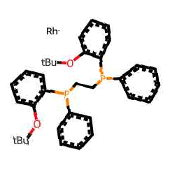 CC(C)(C)Oc1ccccc1P(CCP(c1ccccc1)c1ccccc1OC(C)(C)C)c1ccccc1.[Rh]